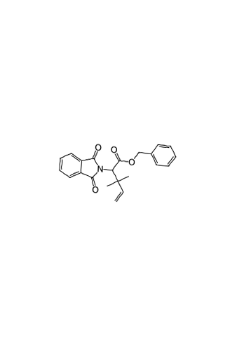 C=CC(C)(C)C(C(=O)OCc1ccccc1)N1C(=O)c2ccccc2C1=O